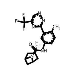 Cc1ccc(NC(=O)N2C3CC(C)CC2C3)cc1-c1nncc(C(F)(F)F)n1